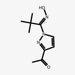 CC(=O)c1ccn(/C(=N/O)C(C)(C)C)n1